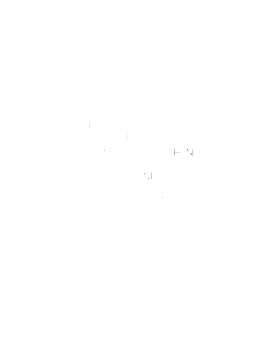 CC(CN)C(=O)NCC(F)(F)F